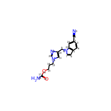 N#Cc1ccc2ccn(Cc3cn(CCCOC(N)=O)cn3)c2c1